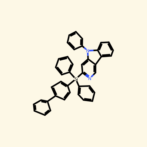 c1ccc(-c2ccc([Si](c3ccccc3)(c3ccccc3)c3cc4c(cn3)c3ccccc3n4-c3ccccc3)cc2)cc1